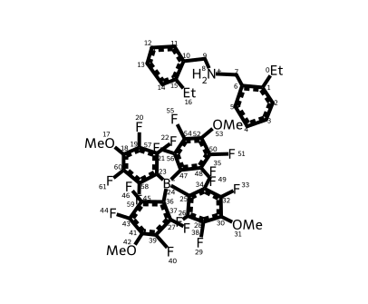 CCc1ccccc1C[NH2+]Cc1ccccc1CC.COc1c(F)c(F)c([B-](c2c(F)c(F)c(OC)c(F)c2F)(c2c(F)c(F)c(OC)c(F)c2F)c2c(F)c(F)c(OC)c(F)c2F)c(F)c1F